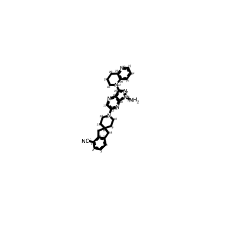 N#Cc1cccc2c1CC1(CCN(c3cnc4c(N5CCCc6ncccc65)nn(N)c4n3)CC1)C2